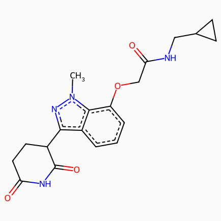 Cn1nc(C2CCC(=O)NC2=O)c2cccc(OCC(=O)NCC3CC3)c21